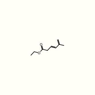 C=C(C)/C=C/CC(=O)OCC